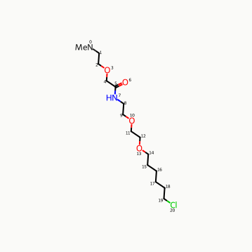 CNCCOCC(=O)NCCOCCOCCCCCCCl